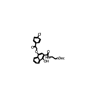 CCCCCCCCCCCCNC(=O)c1cc(OCC(=O)c2ccc(Cl)cc2)c2ccccc2c1O